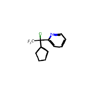 FC(F)(F)C(Cl)(c1ccccn1)C1CCCC1